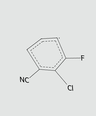 N#Cc1cc[c]c(F)c1Cl